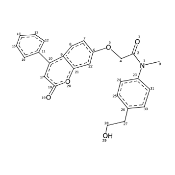 CN(C(=O)COc1ccc2c(-c3ccccc3)cc(=O)oc2c1)c1ccc(CCO)cc1